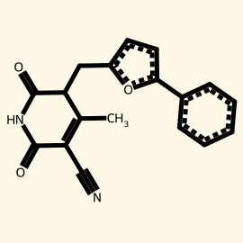 CC1=C(C#N)C(=O)NC(=O)C1Cc1ccc(-c2ccccc2)o1